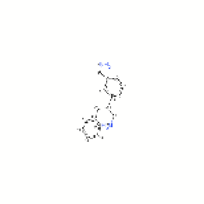 NCc1cccc(C(CN)Cc2ccccc2)c1